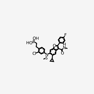 CNC(=O)c1c(-c2ccc(F)cc2)oc2cc(N(SC)c3ccc(CCB(O)O)c(Cl)c3)c(C3CC3)cc12